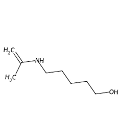 C=C(C)NCCCCCO